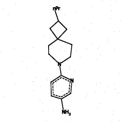 CCCC1CC2(CCN(c3ccc(N)cn3)CC2)C1